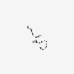 C=CCOC(=O)Nc1c[c]ccc1